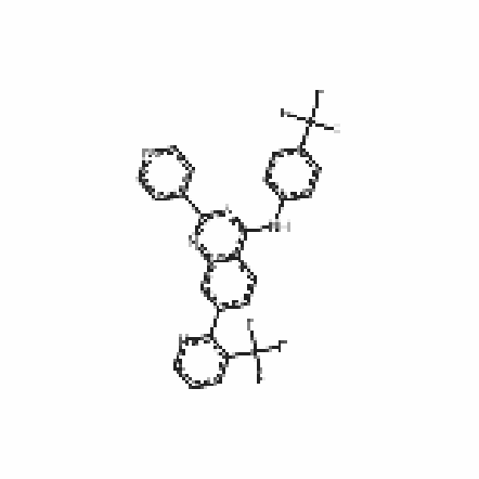 FC(F)(F)c1ccc(Nc2nc(-c3ccncc3)nc3cc(-c4ncccc4C(F)(F)F)ccc23)cc1